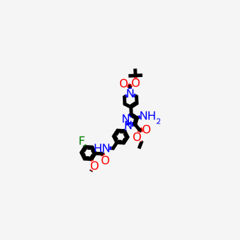 CCOC(=O)c1c(N)c(C2=CCN(C(=O)OC(C)(C)C)CC2)nn1-c1ccc(CNC(=O)c2cc(F)ccc2OC)cc1